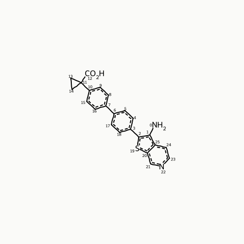 Nc1c(-c2ccc(-c3ccc(C4(C(=O)O)CC4)cc3)cc2)sc2cnccc12